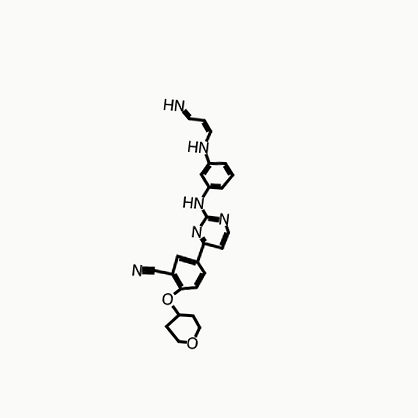 N#Cc1cc(-c2ccnc(Nc3cccc(N/C=C\C=N)c3)n2)ccc1OC1CCOCC1